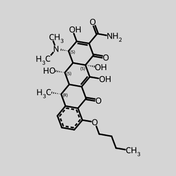 CCCCOc1cccc2c1C(=O)C1=C(O)[C@]3(O)C(=O)C(C(N)=O)=C(O)[C@@H](N(C)C)C3[C@@H](O)C1[C@H]2C